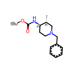 C[C@@H]1CN(Cc2ccccc2)CC[C@H]1NC(=O)OC(C)(C)C